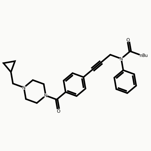 CCCCC(=O)N(CC#Cc1ccc(C(=O)N2CCN(CC3CC3)CC2)cc1)c1ccccc1